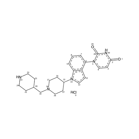 Cl.O=c1ccn(-c2cccc3c2ccn3C2CCN(CC3CCNCC3)CC2)c(=O)[nH]1